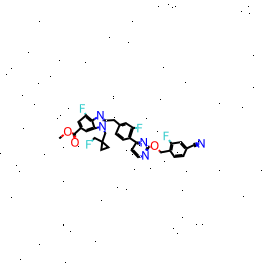 COC(=O)c1cc(F)c2nc(Cc3ccc(-c4ccnc(OCc5ccc(C#N)cc5F)n4)c(F)c3)n(CC3(CF)CC3)c2c1